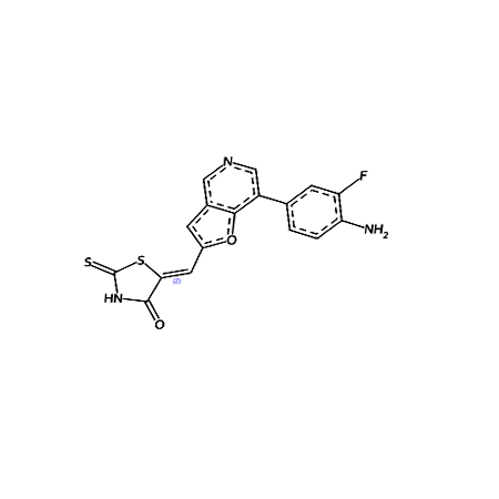 Nc1ccc(-c2cncc3cc(/C=C4\SC(=S)NC4=O)oc23)cc1F